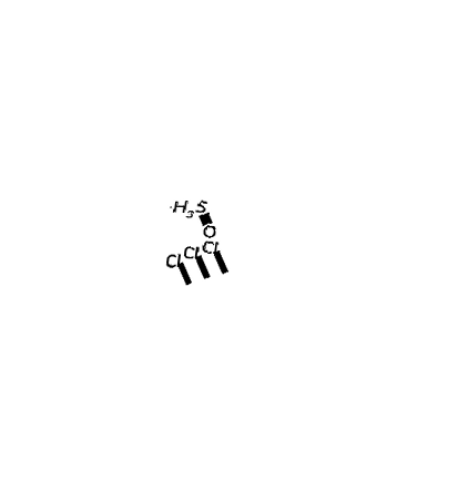 CCl.CCl.CCl.O=[SH3]